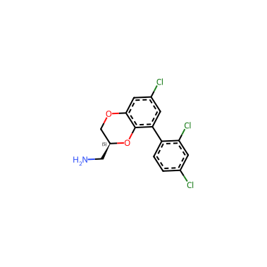 NC[C@H]1COc2cc(Cl)cc(-c3ccc(Cl)cc3Cl)c2O1